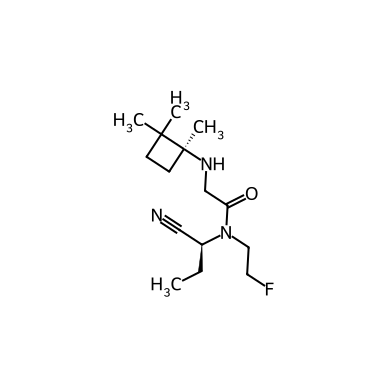 CC[C@@H](C#N)N(CCF)C(=O)CN[C@@]1(C)CCC1(C)C